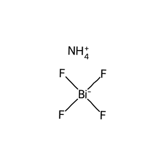 [F][Bi-]([F])([F])[F].[NH4+]